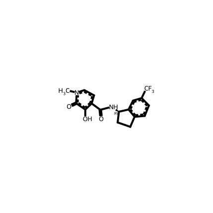 Cn1ccc(C(=O)N[C@@H]2CCc3ccc(C(F)(F)F)cc32)c(O)c1=O